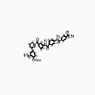 CCOc1cc(C2=NN(C(=O)c3cccc(NC(=O)c4ccc(NC(=O)c5ccc(C(=O)C#N)cc5)cc4)c3)CCC2)ccc1OC